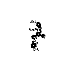 COCCn1c(Cc2ccc(-c3cccc(OCc4ccc(C)cc4F)n3)cc2-c2ccsc2)nc2ccc(C(=O)O)cc21